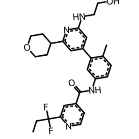 CCC(F)(F)c1cc(C(=O)Nc2ccc(C)c(-c3cc(NCCO)nc(C4CCOCC4)c3)c2)ccn1